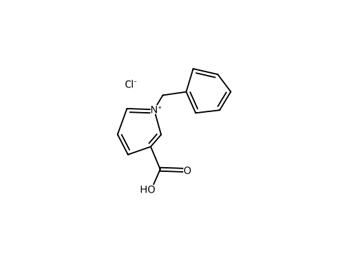 O=C(O)c1ccc[n+](Cc2ccccc2)c1.[Cl-]